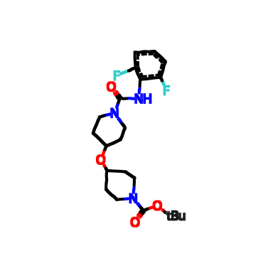 CC(C)(C)OC(=O)N1CCC(OC2CCN(C(=O)Nc3c(F)cccc3F)CC2)CC1